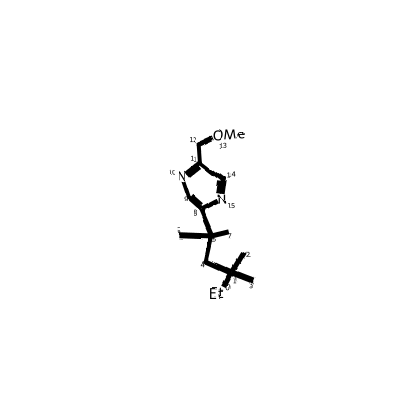 CCC(C)(C)CC(C)(C)c1cnc(COC)cn1